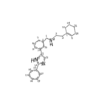 C1=C(CCNCc2cccc(-c3cnc(-c4ccccc4)[nH]3)c2)CCCC1